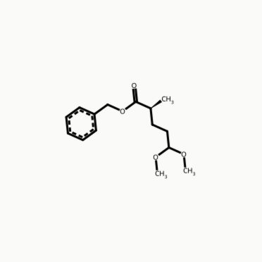 COC(CC[C@H](C)C(=O)OCc1ccccc1)OC